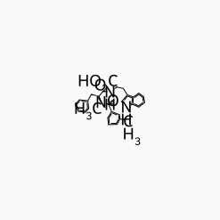 Cc1cccc(C(=O)N(C)[C@@H](Cc2ccccc2)C(=O)N[C@@H](Cc2c[nH]c3ccccc23)C(=O)O)c1